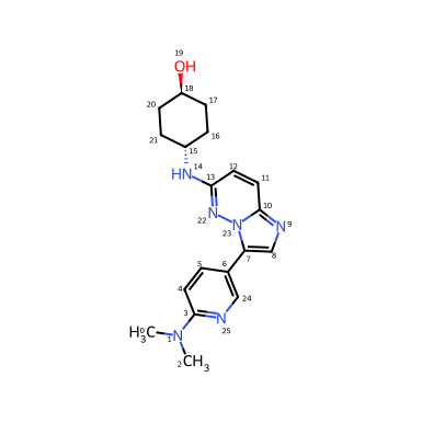 CN(C)c1ccc(-c2cnc3ccc(N[C@H]4CC[C@H](O)CC4)nn23)cn1